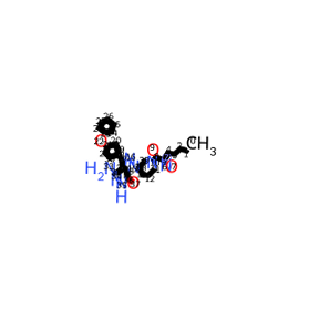 CCCC/C=C(\N=O)C(=O)N1CCC[C@@H](n2nc(-c3ccc(Oc4ccccc4)cc3)c3c(N)n[nH]c(=O)c32)C1